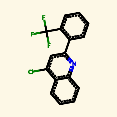 FC(F)(F)c1ccccc1-c1cc(Cl)c2ccccc2n1